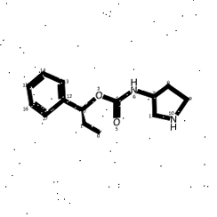 CC[C@H](OC(=O)NC1CCNC1)c1ccccc1